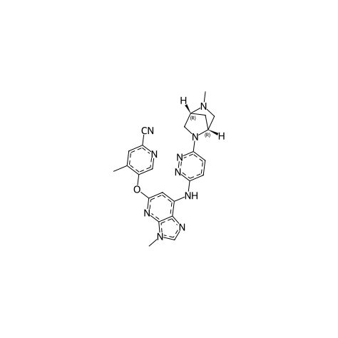 Cc1cc(C#N)ncc1Oc1cc(Nc2ccc(N3C[C@H]4C[C@@H]3CN4C)nn2)c2ncn(C)c2n1